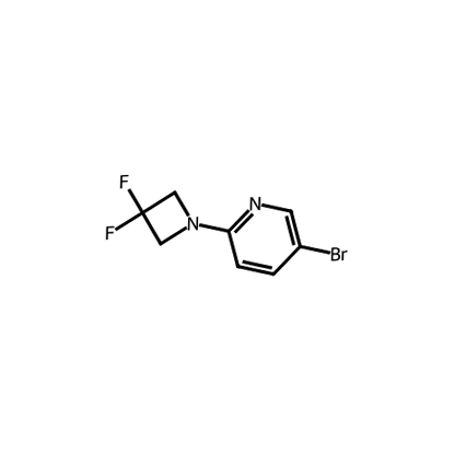 FC1(F)CN(c2ccc(Br)cn2)C1